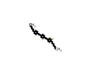 CCCCCCCc1ccc(C#Cc2ccc(C#Cc3ccc(CCCCCC)cc3)cc2F)cc1F